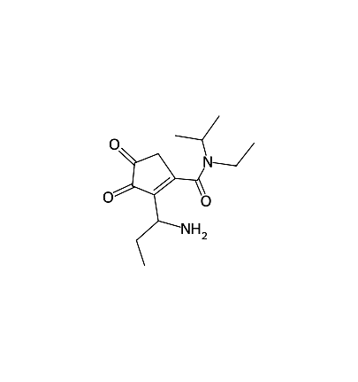 CCC(N)C1=C(C(=O)N(CC)C(C)C)CC(=O)C1=O